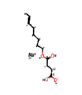 CC=CCCCCCOC(=O)CCC(=O)[O-].[Na+]